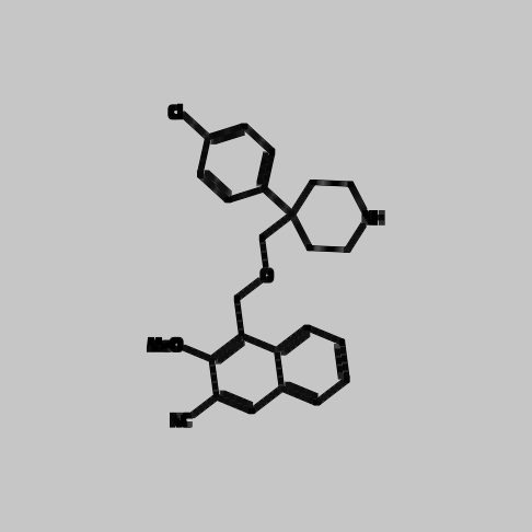 COc1c(C#N)cc2ccccc2c1COCC1(c2ccc(Cl)cc2)CCNCC1